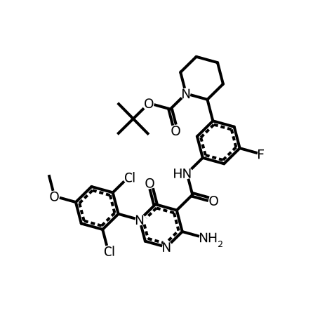 COc1cc(Cl)c(-n2cnc(N)c(C(=O)Nc3cc(F)cc(C4CCCCN4C(=O)OC(C)(C)C)c3)c2=O)c(Cl)c1